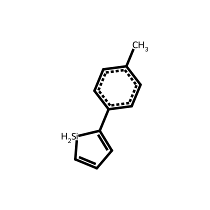 Cc1ccc(C2=CC=C[SiH2]2)cc1